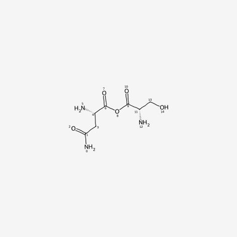 NC(=O)C[C@H](N)C(=O)OC(=O)[C@@H](N)CO